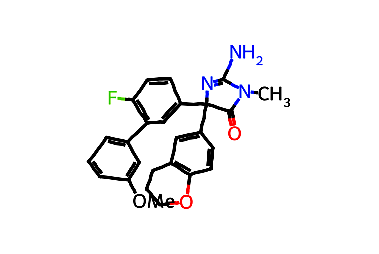 COc1cccc(-c2cc(C3(c4ccc5c(c4)CCCO5)N=C(N)N(C)C3=O)ccc2F)c1